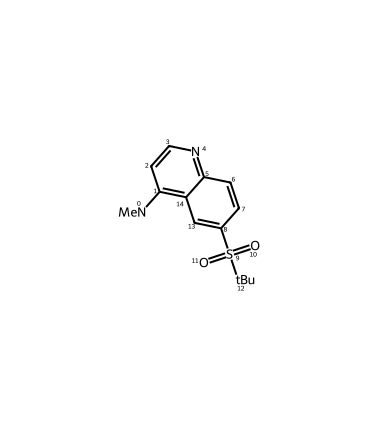 CNc1ccnc2ccc(S(=O)(=O)C(C)(C)C)cc12